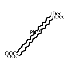 CCCCCCCCCCCCCCCCCCCCCCCCCCCC(=O)[O-].CCCCCCCCCCCCCCCCCCCCCCCCCCCC(=O)[O-].[Pb+2]